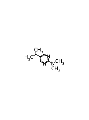 CC(C)c1cnc(N(C)C)nc1